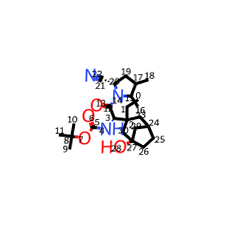 CCC1([C@H](NC(=O)OC(C)(C)C)C(=O)N2C(C)C(C)C[C@H]2C#N)CC2CCC(O)(C2)C1